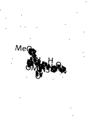 COc1ccc(CN(Cc2ccc(OC)cc2)c2ncc(-c3nc(N4CCOCC4)nc4c3CCN4C(=S)Nc3cccc(C(=O)N4CCN(C)CC4)c3)cn2)cc1